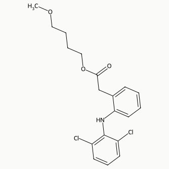 COCCCCOC(=O)Cc1ccccc1Nc1c(Cl)cccc1Cl